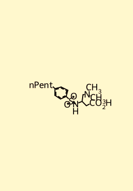 CCCCCc1ccc(S(=O)(=O)NC(CC(=O)O)CN(C)C)cc1